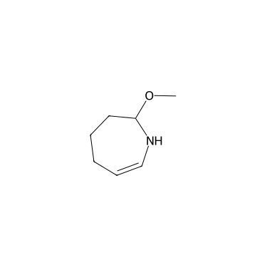 COC1CCCC=CN1